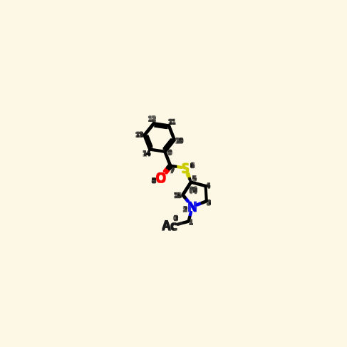 CC(=O)CN1CC[C@H](SC(=O)c2ccccc2)C1